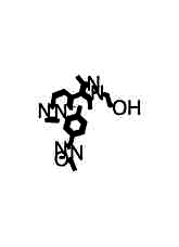 Cc1nc(-c2ccc(C)c([N+]34C=CN=C3C=CC(c3c(C)nn(CCO)c3C)=C4)c2)no1